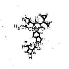 CC(C)n1nccc1C(=O)N[C@H](C(=O)Nc1ccc2c(c1)CC[C@H]2NC(=O)c1n[nH]cc1C(F)(F)F)C(C1CC1)C1CC1